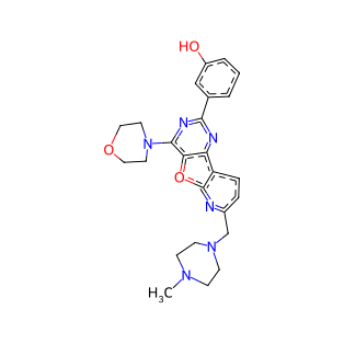 CN1CCN(Cc2ccc3c(n2)oc2c(N4CCOCC4)nc(-c4cccc(O)c4)nc23)CC1